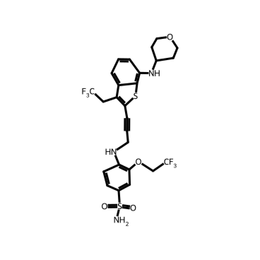 NS(=O)(=O)c1ccc(NCC#Cc2sc3c(NC4CCOCC4)cccc3c2CC(F)(F)F)c(OCC(F)(F)F)c1